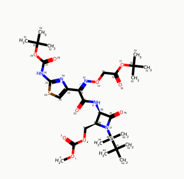 COC(=O)OC[C@H]1[C@@H](NC(=O)/C(=N\OCC(=O)OC(C)(C)C)c2csc(NC(=O)OC(C)(C)C)n2)C(=O)N1[Si](C)(C)C(C)(C)C